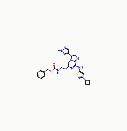 Cn1cc(C2CN=C3C(Nc4cc(C5CCC5)ns4)=NC(CCNC(=O)OCc4ccccc4)=CN32)cn1